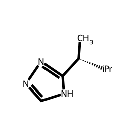 CC(C)[C@@H](C)c1nnc[nH]1